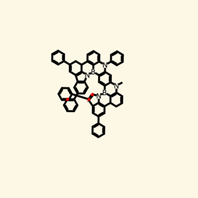 CN1C2=C3B(c4cc5c(cc41)N(c1ccccc1)c1cccc4c1B5n1c5c(c6cc(-c7ccccc7)ccc61)C=C(c1ccccc1)CC45)n1c4ccc(-c5ccccc5)cc4c4cc(-c5ccccc5)cc(c41)C3CC=C2